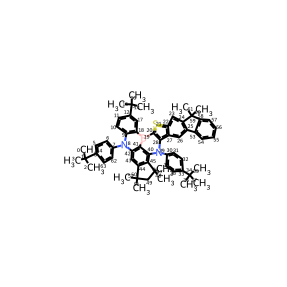 CC(C)(C)c1ccc(N2c3ccc(C(C)(C)C)cc3B3c4sc5cc6c(cc5c4N(c4ccc(C(C)(C)C)cc4)c4c3c2cc2c4C(C)(C)CC2(C)C)-c2ccccc2C6(C)C)cc1